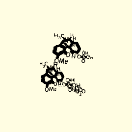 COc1ccc2c3c1O[C@H]1[C@@H](OP(=O)(O)O)C=C[C@H]4[C@@H](C2)N(C)CC[C@@]341.COc1ccc2c3c1O[C@H]1[C@@H](OP(=O)(O)O)C=C[C@H]4[C@@H](C2)N(C)CC[C@@]341.O.O.O